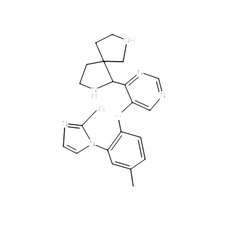 CC(C)c1nccn1-c1cc(F)ccc1Oc1cncnc1C1NCCC12CCNC2